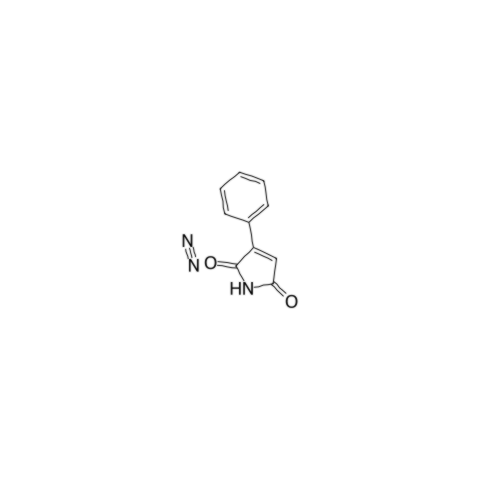 N#N.O=C1C=C(c2ccccc2)C(=O)N1